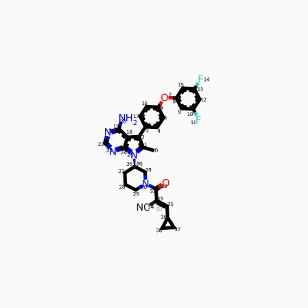 Cc1c(-c2ccc(Oc3cc(F)cc(F)c3)cc2)c2c(N)ncnc2n1[C@@H]1CCCN(C(=O)/C(C#N)=C/C2CC2)C1